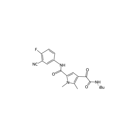 CC[C@@H](C)NC(=O)C(=O)c1cc(C(=O)Nc2ccc(F)c(C#N)c2)n(C)c1C